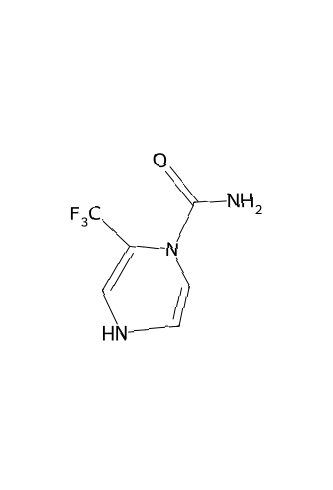 NC(=O)N1C=CNC=C1C(F)(F)F